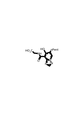 CCCCCc1cn2ncnc2c(C(=O)NCC(=O)O)c1O